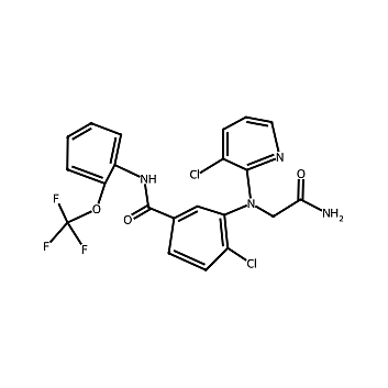 NC(=O)CN(c1cc(C(=O)Nc2ccccc2OC(F)(F)F)ccc1Cl)c1ncccc1Cl